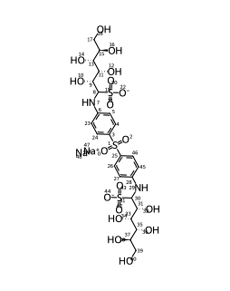 O=S(=O)(c1ccc(NC([C@H](O)[C@@H](O)[C@H](O)[C@H](O)CO)S(=O)(=O)[O-])cc1)c1ccc(NC([C@H](O)[C@@H](O)[C@H](O)[C@H](O)CO)S(=O)(=O)[O-])cc1.[Na+].[Na+]